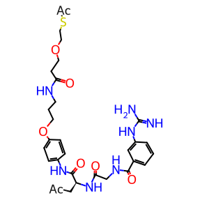 CC(=O)C[C@H](NC(=O)CNC(=O)c1cccc(NC(=N)N)c1)C(=O)Nc1ccc(OCCCNC(=O)CCOCCSC(C)=O)cc1